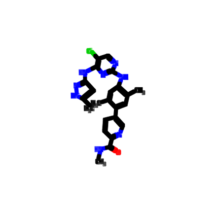 CNC(=O)c1ccc(-c2cc(C)c(Nc3ncc(Cl)c(Nc4cc(C)[nH]n4)n3)cc2C)cn1